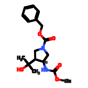 CC(C)(C)OC(=O)N[C@@H]1CN(C(=O)OCc2ccccc2)CC1C(C)(C)O